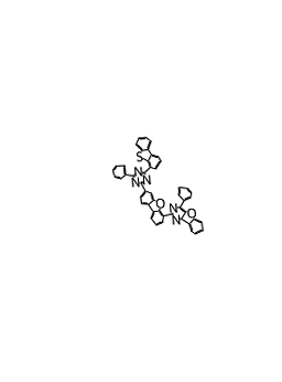 c1ccc(-c2nc(-c3ccc4c(c3)oc3c(-c5nc(-c6ccccc6)c6oc7ccccc7c6n5)cccc34)nc(-c3cccc4c3sc3ccccc34)n2)cc1